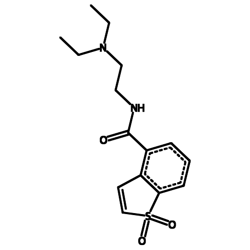 CCN(CC)CCNC(=O)c1cccc2c1C=CS2(=O)=O